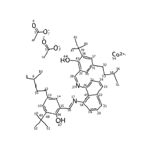 CC(=O)[O-].CC(=O)[O-].CC(C)CCc1cc(C=Nc2cccc3cccc(N=Cc4cc(CCC(C)C)cc(C(C)(C)C)c4O)c23)c(O)c(C(C)(C)C)c1.[Co+2]